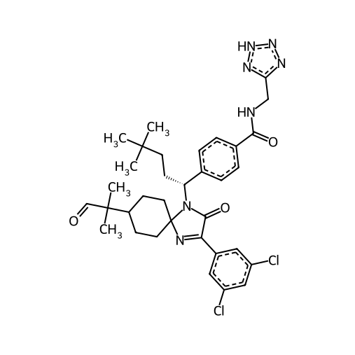 CC(C)(C)CC[C@H](c1ccc(C(=O)NCc2nn[nH]n2)cc1)N1C(=O)C(c2cc(Cl)cc(Cl)c2)=NC12CCC(C(C)(C)C=O)CC2